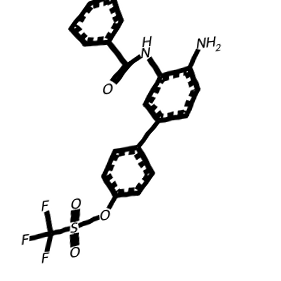 Nc1ccc(-c2ccc(OS(=O)(=O)C(F)(F)F)cc2)cc1NC(=O)c1ccccc1